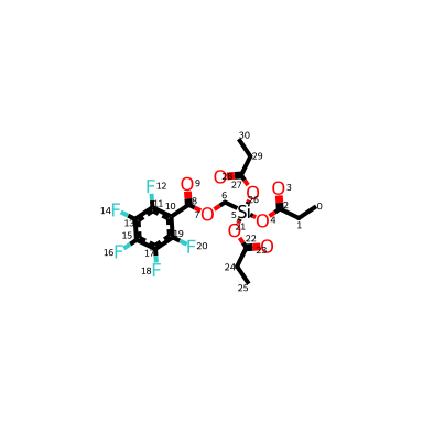 CCC(=O)O[Si](COC(=O)c1c(F)c(F)c(F)c(F)c1F)(OC(=O)CC)OC(=O)CC